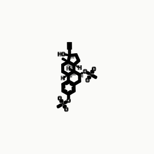 C#C[C@]1(O)CC[C@H]2[C@H]3[C@H](CC[C@@]21C)c1ccc(OS(C)(=O)=O)cc1C[C@H]3OS(C)(=O)=O